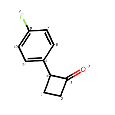 O=C1CCC1c1ccc(F)cc1